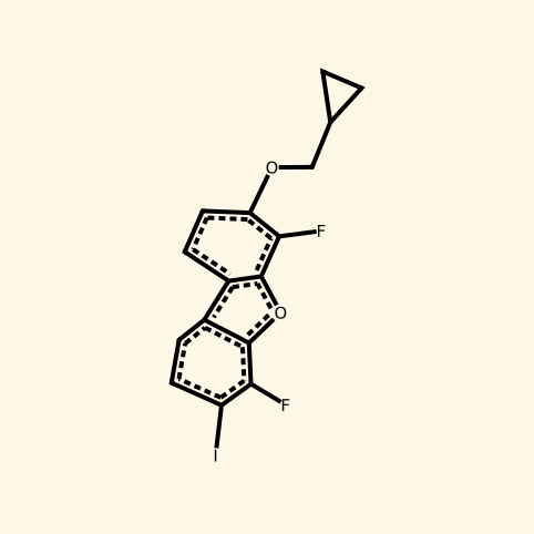 Fc1c(I)ccc2c1oc1c(F)c(OCC3CC3)ccc12